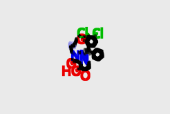 O=C1c2c(O)c(=O)ccn2N2CN1C/C=C/COc1c(ccc(Cl)c1Cl)[C@H]2c1ccccc1